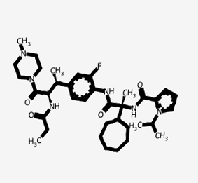 CCC(=O)N[C@@H](C(=O)N1CCN(C)CC1)[C@@H](C)c1ccc(NC(=O)[C@](C)(NC(=O)c2cccn2C(C)C)C2CCCCCC2)c(F)c1